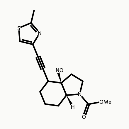 COC(=O)N1CC[C@@]2(N=O)C(C#Cc3csc(C)n3)CCC[C@@H]12